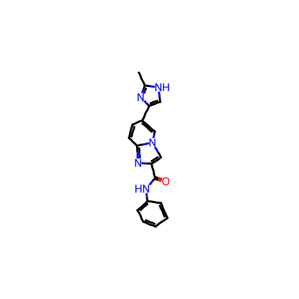 Cc1nc(-c2ccc3nc(C(=O)Nc4ccccc4)cn3c2)c[nH]1